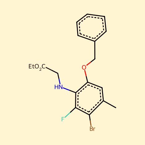 CCOC(=O)CNc1c(OCc2ccccc2)cc(C)c(Br)c1F